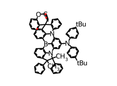 CC(C)(C)c1ccc(N(c2ccc(C(C)(C)C)cc2)c2cc3c4c(c2)N2c5c(cccc5C(C)(c5ccccc5)C2(C)c2ccccc2)B4c2cccc4c2N3c2ccccc2C42c3ccccc3Oc3ccccc32)cc1